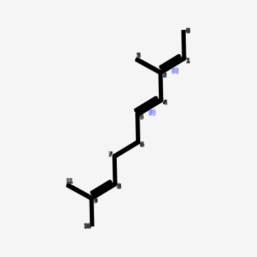 C/C=C(C)/C=C/CCC=C(C)C